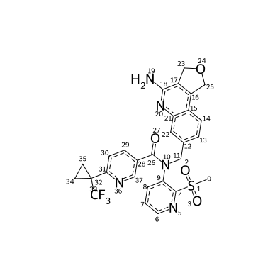 CS(=O)(=O)c1ncccc1N(Cc1ccc2c3c(c(N)nc2c1)COC3)C(=O)c1ccc(C2(C(F)(F)F)CC2)nc1